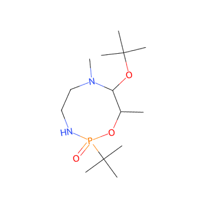 CC1OP(=O)(C(C)(C)C)NCCN(C)C1OC(C)(C)C